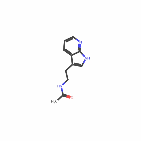 CC(=O)NCCc1c[nH]c2ncccc12